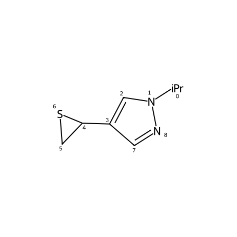 CC(C)n1cc(C2CS2)cn1